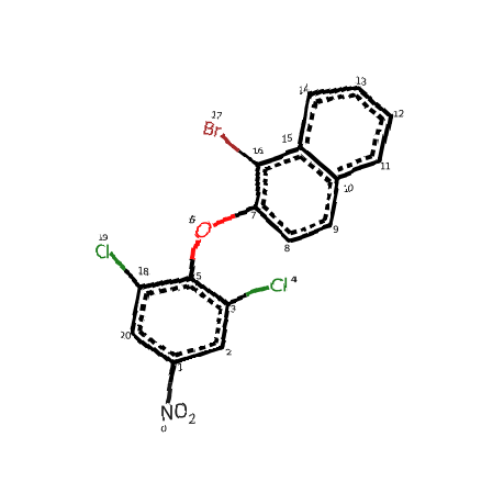 O=[N+]([O-])c1cc(Cl)c(Oc2ccc3ccccc3c2Br)c(Cl)c1